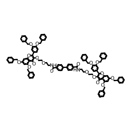 O=C(NCCOCCOc1c(-c2ccc(OCc3ccccc3)c(OCc3ccccc3)c2)oc2cc(OCc3ccccc3)cc(OCc3ccccc3)c2c1=O)c1ccc(-c2ccc(C(=O)NCCOCCOc3c(-c4ccc(OCc5ccccc5)c(OCc5ccccc5)c4)oc4cc(OCc5ccccc5)cc(OCc5ccccc5)c4c3=O)cc2)cc1